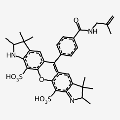 C=C(C)CNC(=O)c1ccc(C2=c3cc4c(c(S(=O)(=O)O)c3Oc3c2cc2c(c3S(=O)(=O)O)NC(C)C2(C)C)=NC(C)C4(C)C)cc1